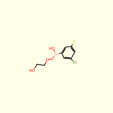 OCCOOB(O)c1cc(F)cc(Cl)c1